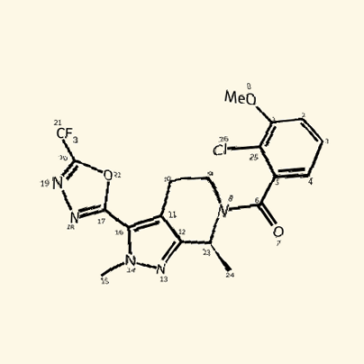 COc1cccc(C(=O)N2CCc3c(nn(C)c3-c3nnc(C(F)(F)F)o3)[C@@H]2C)c1Cl